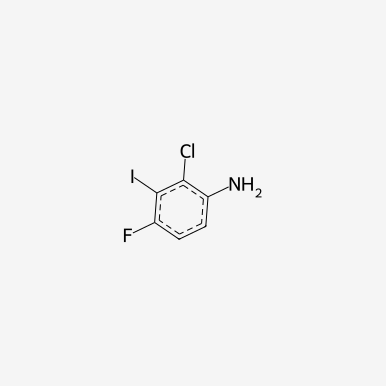 Nc1ccc(F)c(I)c1Cl